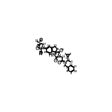 CC(C1CC1)N(Cc1ccccc1)C(=O)CN1C(=O)NC2(CCc3cc(N(CS(C)(=O)=O)[SH](=O)=O)ccc32)C1=O